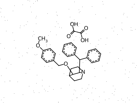 COc1ccc(COC2C3CCN(CC3)C2C(c2ccccc2)c2ccccc2)cc1.O=C(O)C(=O)O